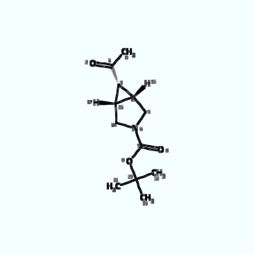 CC(=O)[C@@H]1[C@@H]2CN(C(=O)OC(C)(C)C)C[C@@H]21